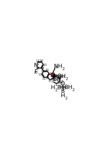 BC(B)(B)O[C@H]1CC[C@@]2(Cc3ccc(-c4cccnc4F)cc3[C@]23N=C(N)OC3(B)B)C[C@@H]1C